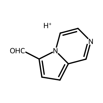 O=Cc1ccc2cnccn12.[H+]